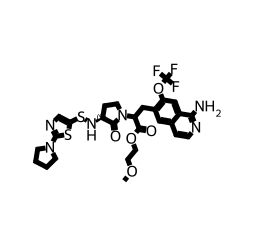 COCCOC(=O)C(Cc1cc2ccnc(N)c2cc1OC(F)(F)F)N1CC[C@H](NSc2cnc(N3CCCC3)s2)C1=O